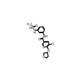 CS(=O)(=O)Nc1cccc(NC(=O)c2cnc(OC3CCOC3)c(Cl)c2)c1